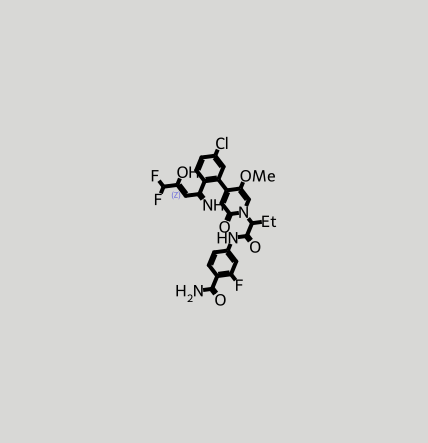 CCC(C(=O)Nc1ccc(C(N)=O)c(F)c1)n1cc(OC)c(-c2cc(Cl)ccc2C(=N)/C=C(\O)C(F)F)cc1=O